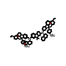 C=Cc1ccc(CC2(c3ccc(C(C)(C)C)cc3)c3ccccc3-c3ccc(N(c4ccc5c(c4)C(C)(C)c4cc(N(c6ccc7c(c6)C(Cc6ccc(C=C)cc6)(c6ccc(C(C)(C)C)cc6)c6ccccc6-7)c6cccc7ccccc67)ccc4-5)c4cccc5ccccc45)cc32)cc1